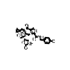 CC(C)([C@@H]1CNC(=O)O1)S(=O)(=O)C1(CN2CCn3c(cnc3C(=O)NCc3ccc(Cl)cc3)C2=O)CC1